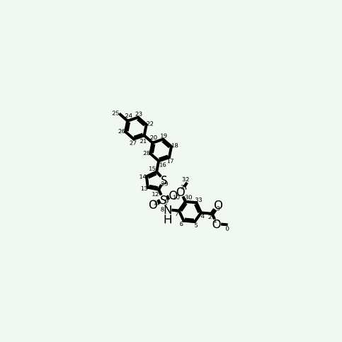 COC(=O)c1ccc(NS(=O)(=O)c2ccc(-c3cccc(-c4ccc(C)cc4)c3)s2)c(OC)c1